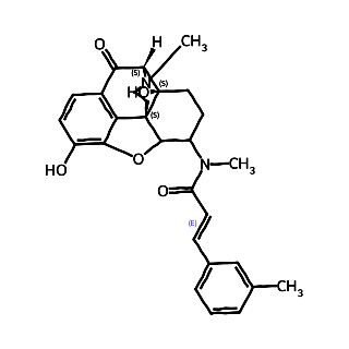 Cc1cccc(/C=C/C(=O)N(C)C2CC[C@@]3(O)[C@H]4C(=O)c5ccc(O)c6c5[C@@]3(CCN4C)C2O6)c1